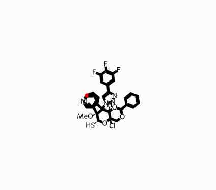 CO[C@@]1(c2cccnc2)[C@@H](S)O[C@@]2(Cl)COC(c3ccccc3)O[C@@H]2C1(c1cccnc1)n1cc(-c2cc(F)c(F)c(F)c2)nn1